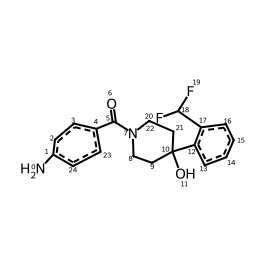 Nc1ccc(C(=O)N2CCC(O)(c3ccccc3C(F)F)CC2)cc1